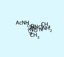 CC(=O)NC1CC([C@H]2CC[C@H](C)CN2C(=O)C(=O)Nc2cnc(N)c(C)c2)C1